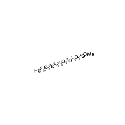 COOCCOCCOCCOCCCCOCCOCCO